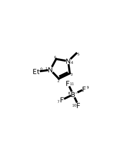 CCN1C=CN(C)C1.F[B-](F)(F)F